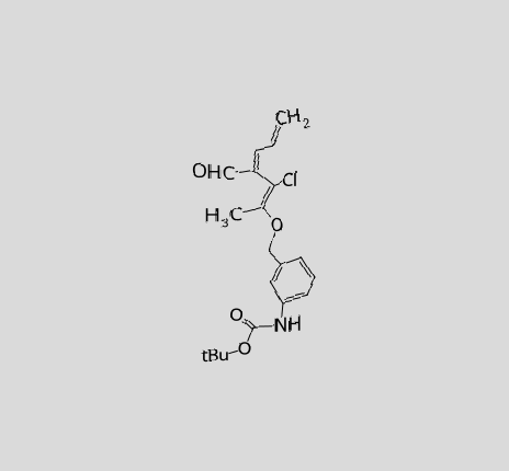 C=C/C=C(C=O)\C(Cl)=C(/C)OCc1cccc(NC(=O)OC(C)(C)C)c1